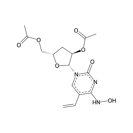 C=Cc1cn([C@@H]2O[C@H](COC(C)=O)C[C@H]2OC(C)=O)c(=O)nc1NO